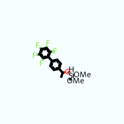 CO[SiH](OC)OC(C)c1ccc(-c2c(F)c(F)c(F)c(F)c2F)cc1